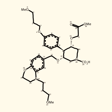 COCCCOc1ccc([C@@H]2[C@@H](OCc3ccc4c(c3)N(CCCOC)CCO4)CN(C(=O)O)C[C@H]2OCC(=O)OC)cc1